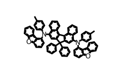 Cc1ccc(N(c2cc3c(c4ccccc24)-c2c(cc(N(c4ccc(C)cc4)c4cccc5oc6ccccc6c45)c4ccccc24)C3(c2ccccc2)c2ccccc2)c2cccc3oc4ccccc4c23)cc1